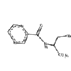 CC(C)(C)CC(NC(=O)c1cnccn1)C(=O)O